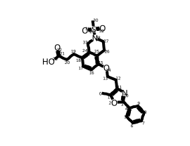 Cc1oc(-c2ccccc2)nc1CCOc1ccc(CCC(=O)O)c2c1CCN(S(C)(=O)=O)C2